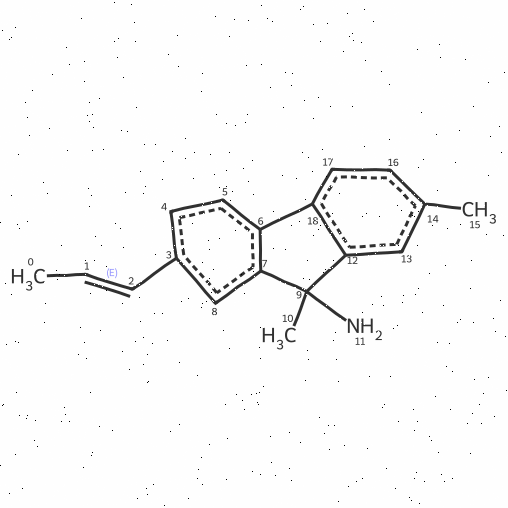 C/C=C/c1ccc2c(c1)C(C)(N)c1cc(C)ccc1-2